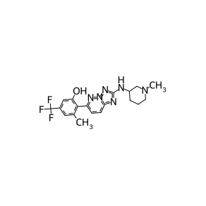 Cc1cc(C(F)(F)F)cc(O)c1-c1ccc2nc(NC3CCCN(C)C3)nn2n1